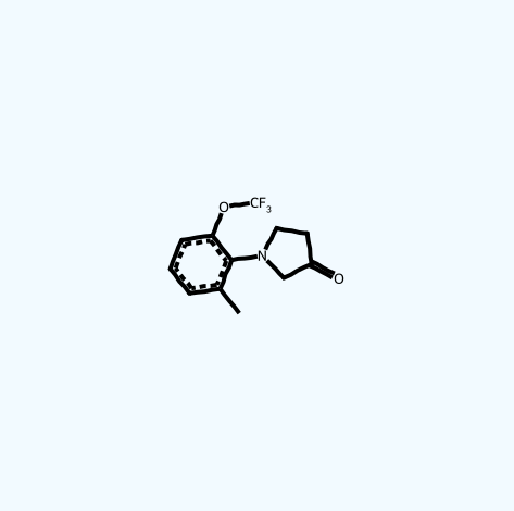 Cc1cccc(OC(F)(F)F)c1N1CCC(=O)C1